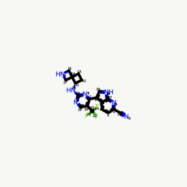 N#Cc1ccc2c(-c3nc(N[C@@H]4CCC45CNC5)ncc3C(F)(F)F)c[nH]c2n1